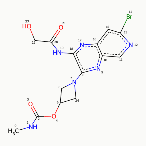 CNC(=O)OC1CN(c2nc3cnc(Br)cc3nc2NC(=O)CO)C1